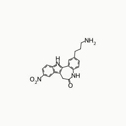 NCCCc1ccc2c(c1)-c1[nH]c3ccc([N+](=O)[O-])cc3c1CC(=O)N2